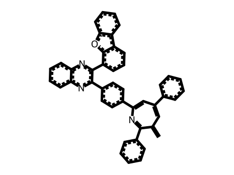 C=C1C=C(c2ccccc2)C=C(c2ccc(-c3nc4ccccc4nc3-c3cccc4c3oc3ccccc34)cc2)N=C1c1ccccc1